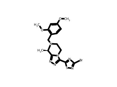 COc1ccc(CN2CCn3c(-c4nc(Br)ns4)nnc3[C@H]2C)c(OC)c1